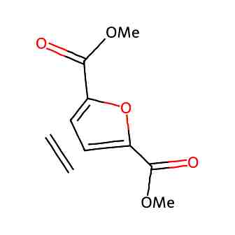 C=C.COC(=O)c1ccc(C(=O)OC)o1